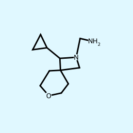 NCN1CC2(CCOCC2)C1C1CC1